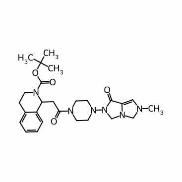 CN1C=C2C(=O)N(N3CCN(C(=O)CC4c5ccccc5CCN4C(=O)OC(C)(C)C)CC3)CN2C1